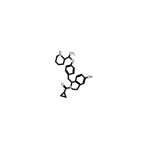 CC(Oc1ccc(CC2c3ccc(O)cc3CCN2C(=O)C2CC2)cc1)C1CCCCN1